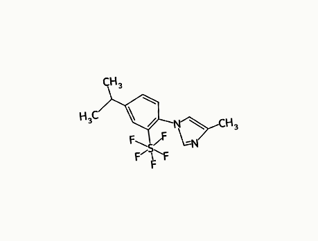 Cc1cn(-c2ccc(C(C)C)cc2S(F)(F)(F)(F)F)cn1